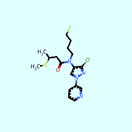 CSC(C)CC(=O)N(CCCCF)c1cn(-c2cccnc2)nc1Cl